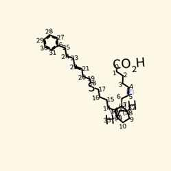 O=C(O)CCC/C=C\C[C@H]1[C@H]2CC[C@H](C2)[C@H]1CCCCSCCC=CCCCc1ccccc1